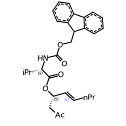 CCC/C=C/[C@H](CC(C)=O)OC(=O)[C@@H](NC(=O)OCC1c2ccccc2-c2ccccc21)C(C)C